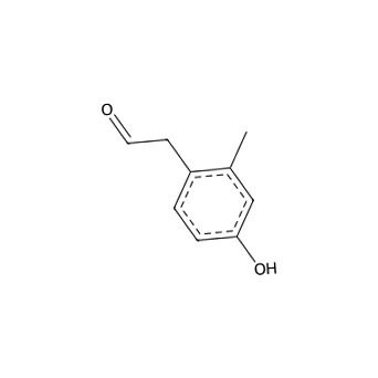 Cc1cc(O)ccc1CC=O